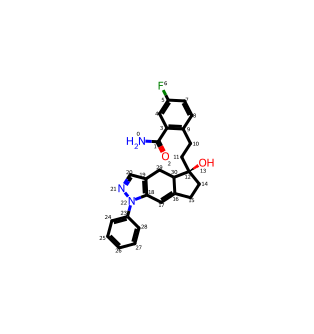 NC(=O)c1cc(F)ccc1CC[C@]1(O)CCC2=Cc3c(cnn3-c3ccccc3)CC21